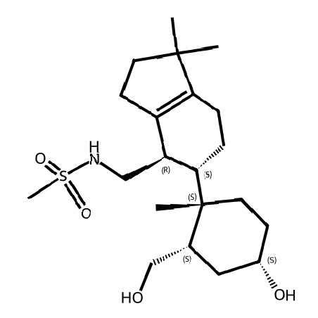 CC1(C)CCC2=C1CC[C@H]([C@]1(C)CC[C@H](O)C[C@@H]1CO)[C@H]2CNS(C)(=O)=O